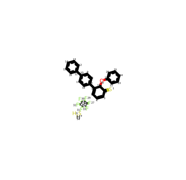 S.S=C1C=CC=C(c2ccc(-c3ccccc3)cc2)C1Oc1ccccc1.[F][Sb-]([F])([F])([F])([F])[F].[H+]